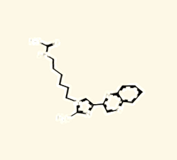 Cc1nc(-c2cnc3ccccc3n2)cn1CCCCCCNC(=O)O